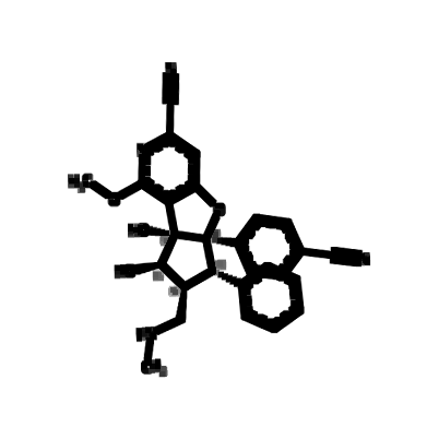 CNC[C@H]1[C@@H](O)[C@@]2(O)c3c(cc(C#N)nc3OC)O[C@@]2(c2ccc(C#N)cc2)[C@@H]1c1ccccc1